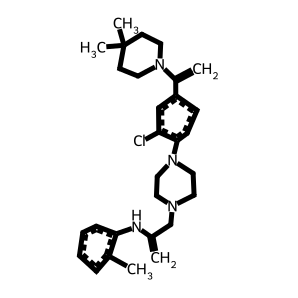 C=C(CN1CCN(c2ccc(C(=C)N3CCC(C)(C)CC3)cc2Cl)CC1)Nc1ccccc1C